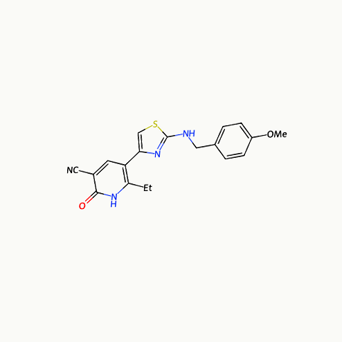 CCc1[nH]c(=O)c(C#N)cc1-c1csc(NCc2ccc(OC)cc2)n1